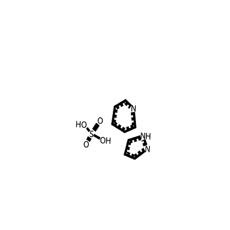 O=S(=O)(O)O.c1ccncc1.c1cn[nH]c1